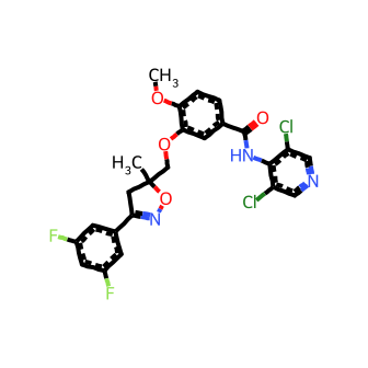 COc1ccc(C(=O)Nc2c(Cl)cncc2Cl)cc1OCC1(C)CC(c2cc(F)cc(F)c2)=NO1